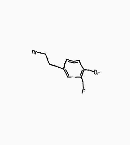 Fc1cc(CCBr)ccc1Br